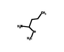 CCCC(N)[Se]C